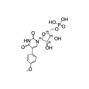 COc1ccc(-c2cn([C@@H]3O[C@H](COP(=O)(O)O)[C@H](O)[C@H]3O)c(=O)[nH]c2=O)cc1